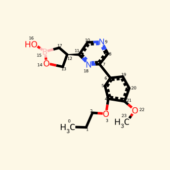 CCCOc1cc(-c2cncc([C@H]3COB(O)C3)n2)ccc1OC